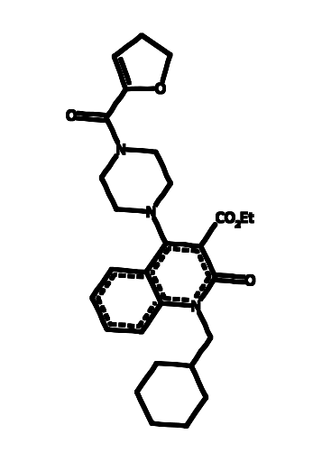 CCOC(=O)c1c(N2CCN(C(=O)C3=CCCO3)CC2)c2ccccc2n(CC2CCCCC2)c1=O